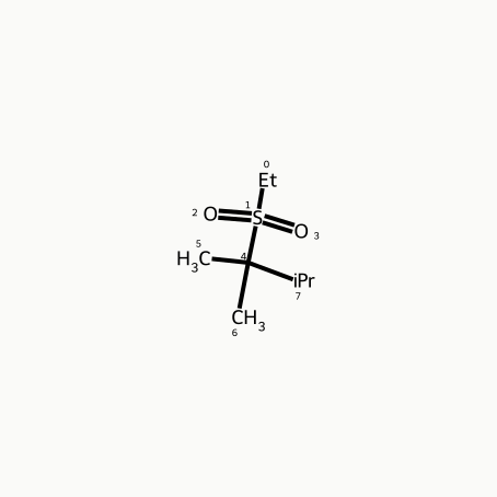 CCS(=O)(=O)C(C)(C)C(C)C